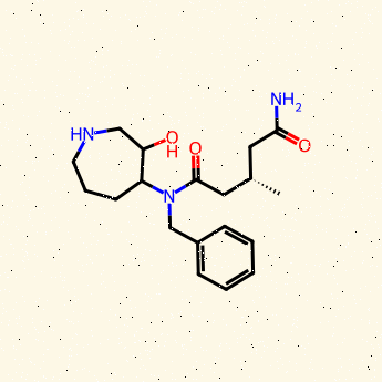 C[C@@H](CC(N)=O)CC(=O)N(Cc1ccccc1)C1CCCNCC1O